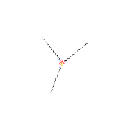 CCCCCCCCCCCCCCCC/C=C/OP(=O)(O/C=C/CCCCCCCCCCCCCCCC)S/C=C/CCCCCCCCCCCCCCCC